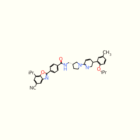 Cc1ccc(OC(C)C)c(C2C=CC(N3CC[C@H](CNC(=O)c4ccc(-c5nc6cc(C#N)cc(C(C)C)c6o5)cc4)C3)=NC2)c1